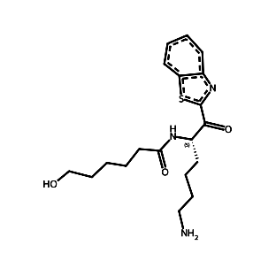 NCCCC[C@H](NC(=O)CCCCCO)C(=O)c1nc2ccccc2s1